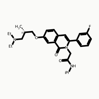 CCN(CC)C[C@H](C)COc1ccc2cc(-c3cccc(F)c3)n(CC(=O)NC(C)C)c(=O)c2c1